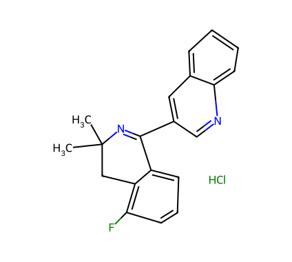 CC1(C)Cc2c(F)cccc2C(c2cnc3ccccc3c2)=N1.Cl